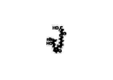 CCCCC(C)[C@H](O)CC[C@H]1C=CC(=O)[C@@H]1C/C=C\CCCCOC(=O)CCC(=O)O